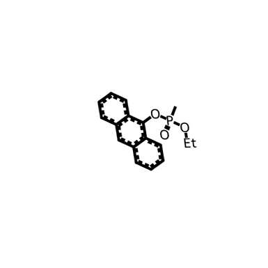 CCOP(C)(=O)Oc1c2ccccc2cc2ccccc12